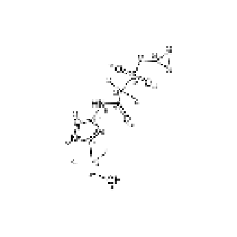 CC(C)(CO)c1cc(NC(=O)C(C)(C)S(=O)(=O)CC2CC2)on1